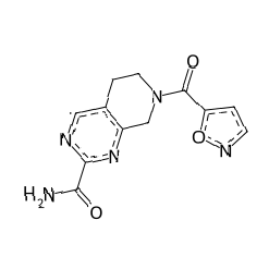 NC(=O)c1n[c]c2c(n1)CN(C(=O)c1ccno1)CC2